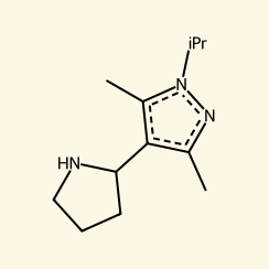 Cc1nn(C(C)C)c(C)c1C1CCCN1